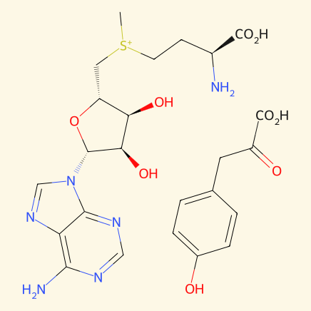 C[S+](CC[C@H](N)C(=O)O)C[C@H]1O[C@@H](n2cnc3c(N)ncnc32)[C@H](O)[C@@H]1O.O=C(O)C(=O)Cc1ccc(O)cc1